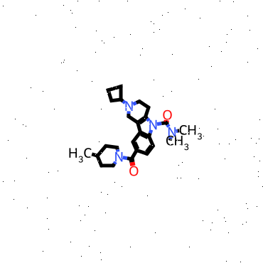 CC1CCN(C(=O)c2ccc3c(c2)c2c(n3C(=O)N(C)C)CCN(C3CCC3)C2)CC1